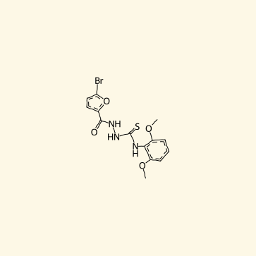 COc1cccc(OC)c1NC(=S)NNC(=O)c1ccc(Br)o1